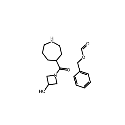 O=C(C1CCCNCC1)N1CC(O)C1.O=COCc1ccccc1